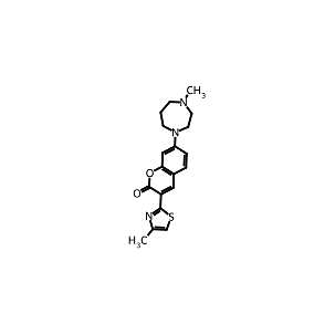 Cc1csc(-c2cc3ccc(N4CCCN(C)CC4)cc3oc2=O)n1